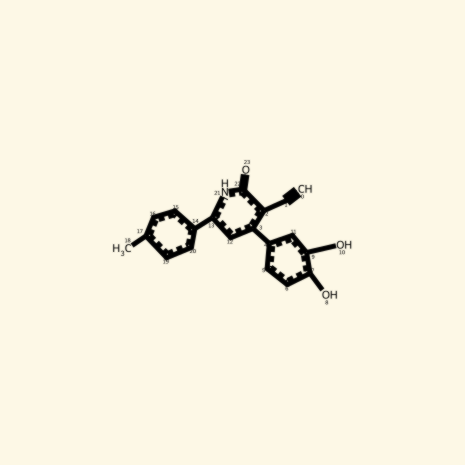 C#Cc1c(-c2ccc(O)c(O)c2)cc(-c2ccc(C)cc2)[nH]c1=O